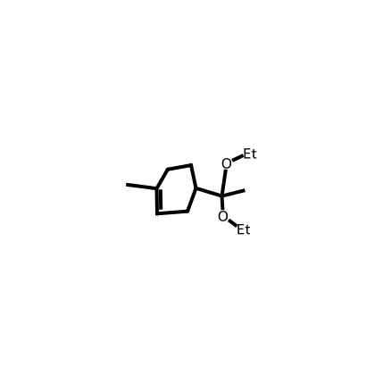 CCOC(C)(OCC)C1CC=C(C)CC1